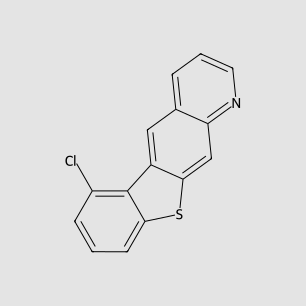 Clc1cccc2sc3cc4ncccc4cc3c12